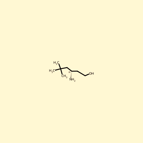 CC(C)(C)C[C@@H](N)CCO